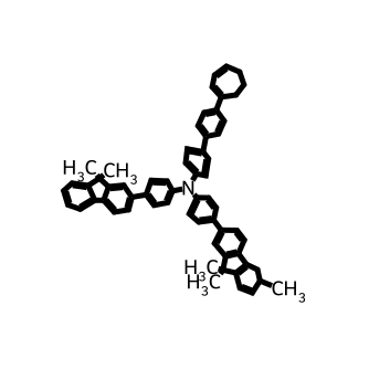 CC1C=CC2=C(C1)c1ccc(-c3ccc(N(c4ccc(-c5ccc(C6=CC=CCCC6)cc5)cc4)c4ccc(-c5ccc6c(c5)C(C)(C)c5ccccc5-6)cc4)cc3)cc1C2(C)C